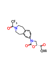 COC(=O)[C@H]1CN(c2ccc3c(c2)CCN(C(=O)C(F)(F)F)CC3)C(=O)O1